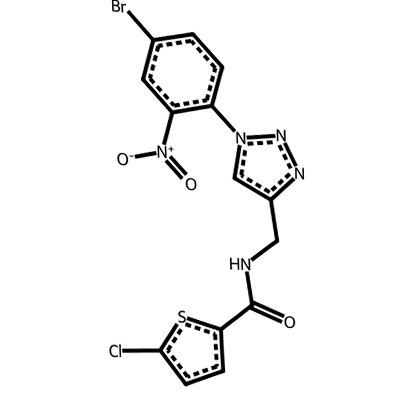 O=C(NCc1cn(-c2ccc(Br)cc2[N+](=O)[O-])nn1)c1ccc(Cl)s1